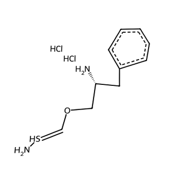 Cl.Cl.N[SH]=COC[C@H](N)Cc1ccccc1